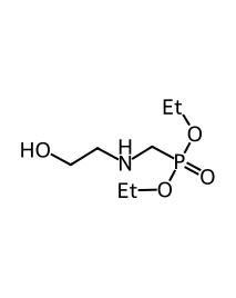 CCOP(=O)(CNCCO)OCC